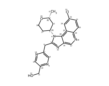 C[C@@H]1C[C@H](n2c(Cc3cnc(CO)cn3)nc3cnc4ccc(Cl)cc4c32)CCO1